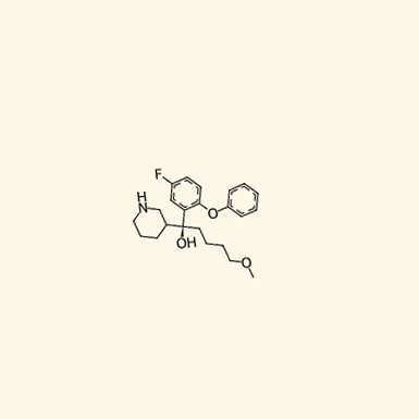 COCCCC[C@@](O)(c1cc(F)ccc1Oc1ccccc1)C1CCCNC1